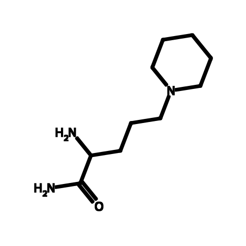 NC(=O)C(N)CCCN1CCCCC1